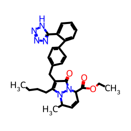 CCCCc1c(Cc2ccc(-c3ccccc3-c3nnn[nH]3)cc2)c(=O)n2n1C(C)C=CC2C(=O)OCC